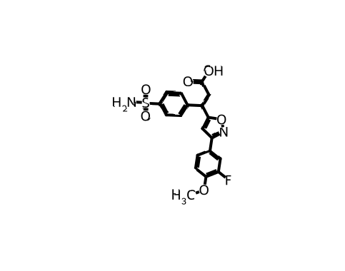 COc1ccc(-c2cc(C(CC(=O)O)c3ccc(S(N)(=O)=O)cc3)on2)cc1F